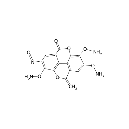 C=C1Oc2c(ON)c(N=O)cc3c(=O)oc4c(ON)c(ON)cc1c4c23